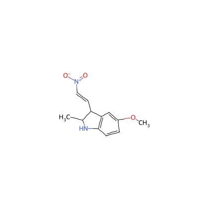 COc1ccc2c(c1)C(/C=C/[N+](=O)[O-])C(C)N2